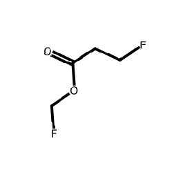 O=C(CCF)OCF